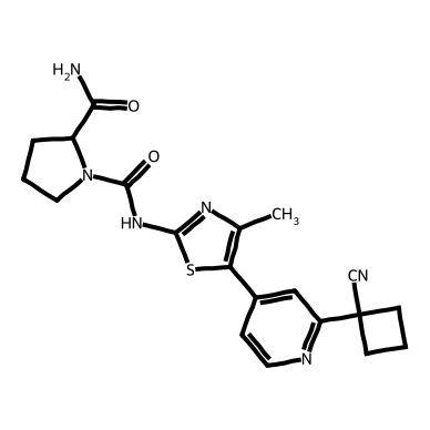 Cc1nc(NC(=O)N2CCCC2C(N)=O)sc1-c1ccnc(C2(C#N)CCC2)c1